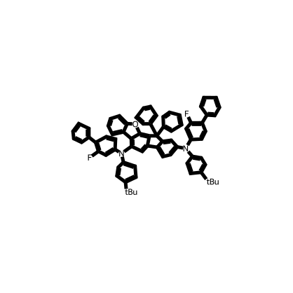 CC(C)(C)c1ccc(N(c2ccc(-c3ccccc3)c(F)c2)c2ccc3c(c2)C(c2ccccc2)(c2ccccc2)c2c-3cc(N(c3ccc(C(C)(C)C)cc3)c3ccc(-c4ccccc4)c(F)c3)c3c2oc2ccccc23)cc1